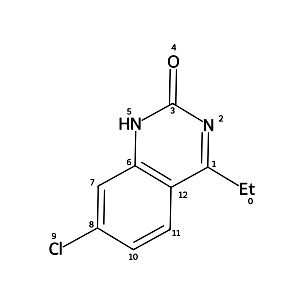 CCc1nc(=O)[nH]c2cc(Cl)ccc12